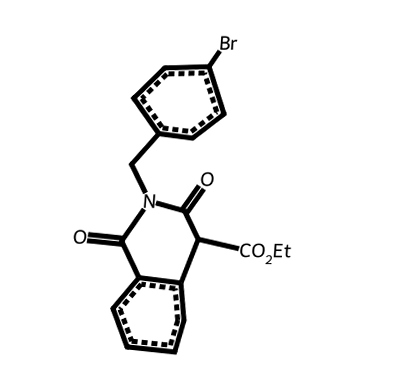 CCOC(=O)C1C(=O)N(Cc2ccc(Br)cc2)C(=O)c2ccccc21